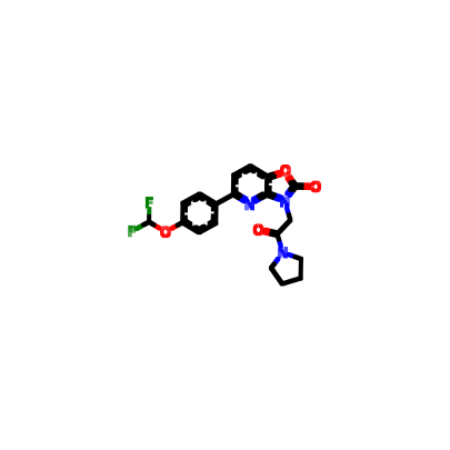 O=C(Cn1c(=O)oc2ccc(-c3ccc(OC(F)F)cc3)nc21)N1CCCC1